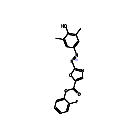 Cc1cc(/N=N/c2ncc(C(=O)Oc3ccccc3F)o2)cc(C)c1O